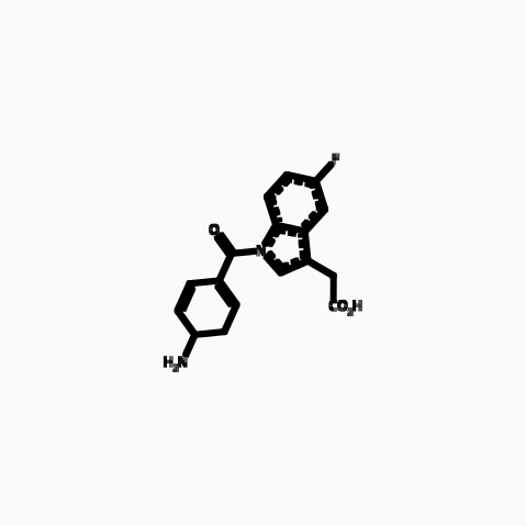 NC1C=CC(C(=O)n2cc(CC(=O)O)c3cc(F)ccc32)=CC1